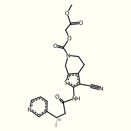 COC(=O)COC(=O)N1CCc2c(sc(NC(=O)C[C@H](C)c3cccnc3)c2C#N)C1